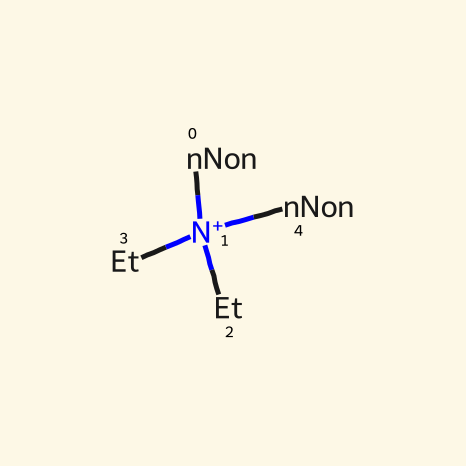 CCCCCCCCC[N+](CC)(CC)CCCCCCCCC